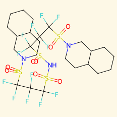 O=S(=O)(NS(=O)(=O)C(F)(F)C(F)(F)C(F)(F)S(=O)(=O)N1CCC2CCCCC2C1)C(F)(F)C(F)(F)C(F)(F)S(=O)(=O)N1CCC2CCCCC2C1